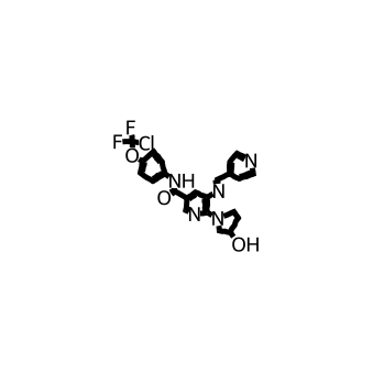 O=C(Nc1ccc(OC(F)(F)Cl)cc1)c1cnc(N2CCC(O)C2)c(N=Cc2ccncc2)c1